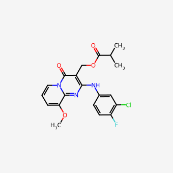 COc1cccn2c(=O)c(COC(=O)C(C)C)c(Nc3ccc(F)c(Cl)c3)nc12